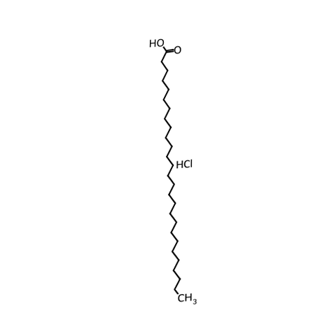 CCCCCCCCCCCCCCCCCCCCCCCCCCC(=O)O.Cl